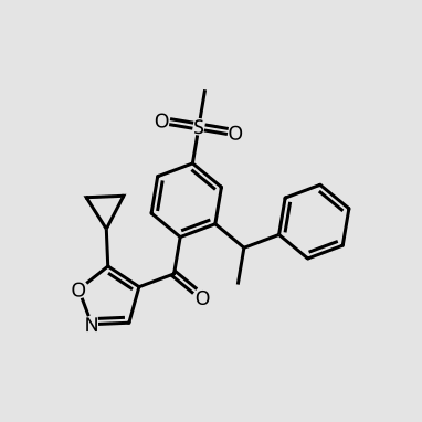 CC(c1ccccc1)c1cc(S(C)(=O)=O)ccc1C(=O)c1cnoc1C1CC1